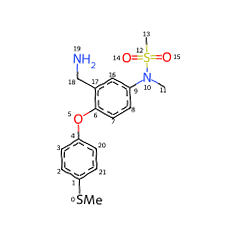 CSc1ccc(Oc2ccc(N(C)S(C)(=O)=O)cc2CN)cc1